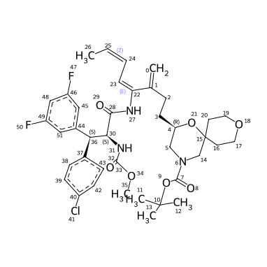 C=C(CC[C@@H]1CN(C(=O)OC(C)(C)C)CC2(CCOCC2)O1)/C(=C\C=C/C)NC(=O)[C@@H](NC(=O)OC)[C@@H](c1ccc(Cl)cc1)c1cc(F)cc(F)c1